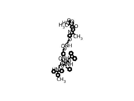 CCc1c2c(nc3ccc(OCCCNC(=O)OCc4ccc(NC(=O)[C@H](CCCCNC(c5ccccc5)(c5ccccc5)c5ccc(C)cc5)NC(=O)[C@H](Cc5ccccc5)NC(=O)OCC5c6ccccc6-c6ccccc65)cc4)cc13)-c1cc3c(c(=O)n1C2)COC(=O)[C@]3(O)CC